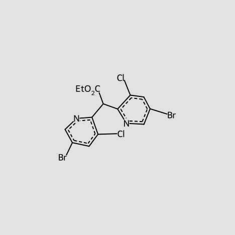 CCOC(=O)C(c1ncc(Br)cc1Cl)c1ncc(Br)cc1Cl